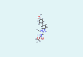 CCn1c(CNC(=O)OC(C)(C)C)nc2ccc(-c3ccc(OC)cc3)cc21